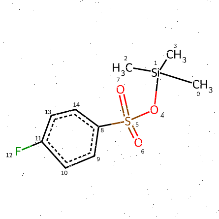 C[Si](C)(C)OS(=O)(=O)c1ccc(F)cc1